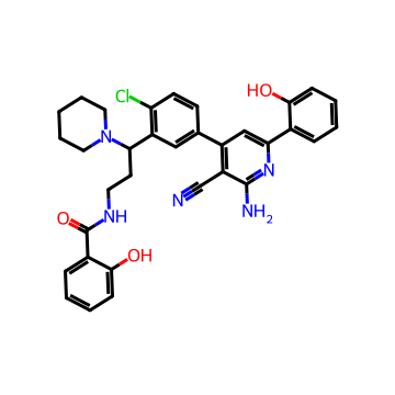 N#Cc1c(-c2ccc(Cl)c(C(CCNC(=O)c3ccccc3O)N3CCCCC3)c2)cc(-c2ccccc2O)nc1N